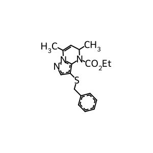 CCOC(=O)N1c2c(SCc3ccccc3)cnn2C(C)=CC1C